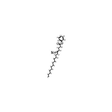 CCCCCCCCCCCCCCCCCC(=O)Oc1ccccc1.[NaH]